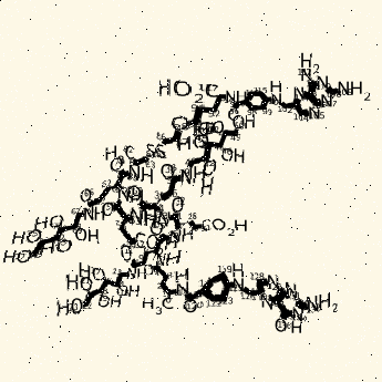 C[C@H](CCC(=O)N[C@@H](CCC(=O)NC[C@H](O)[C@@H](O)[C@H](O)[C@H](O)CO)C(=O)N[C@@H](CCC(=O)O)C(=O)N[C@@H](CCC(=O)NC[C@H](O)[C@@H](O)[C@H](O)[C@H](O)CO)C(=O)N[C@@H](CCC(=O)O)C(=O)N[C@@H](CCC(=O)NC[C@H](O)[C@@H](O)[C@H](O)[C@H](O)CO)C(=O)N[C@H](C)CSSCCOC(=O)CC[C@H](NC(=O)c1ccc(NCc2cnc3nc(N)nc(N)c3n2)cc1)C(=O)O)NC(=O)c1ccc(NCc2cnc3nc(N)[nH]c(=O)c3n2)cc1